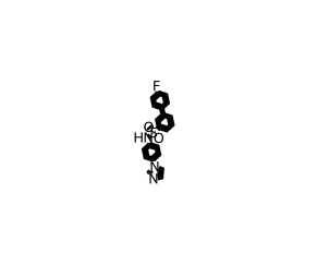 O=S(=O)(Nc1ccc(-n2ccnc2)cc1)c1cccc(-c2ccc(F)cc2)c1